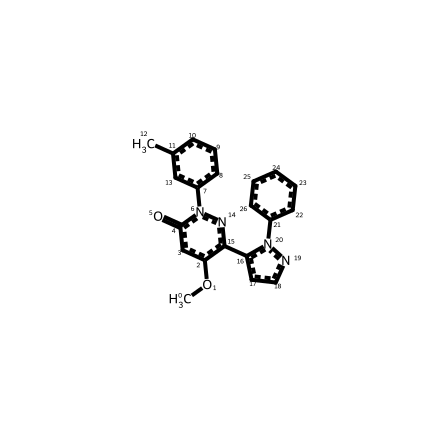 COc1cc(=O)n(-c2cccc(C)c2)nc1-c1ccnn1-c1ccccc1